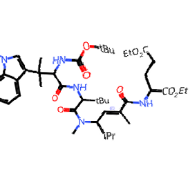 CCOC(=O)CCC(NC(=O)/C(C)=C/C(C(C)C)N(C)C(=O)C(NC(=O)C(NC(=O)OC(C)(C)C)C(C)(C)c1cn(C)c2ccccc12)C(C)(C)C)C(=O)OCC